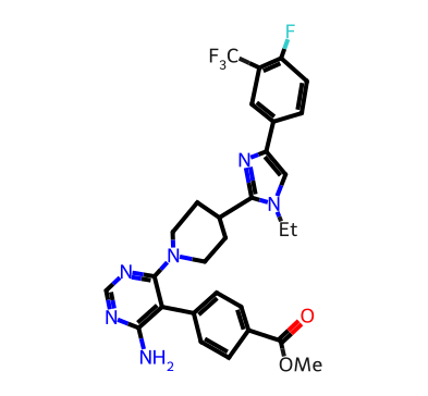 CCn1cc(-c2ccc(F)c(C(F)(F)F)c2)nc1C1CCN(c2ncnc(N)c2-c2ccc(C(=O)OC)cc2)CC1